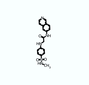 CNS(=O)(=O)c1ccc(NCC(=O)Nc2ccc3cnccc3c2)cc1